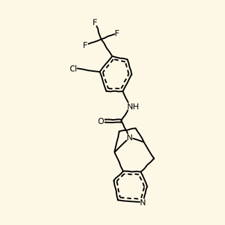 O=C(Nc1ccc(C(F)(F)F)c(Cl)c1)N1C2CCC1c1ccncc1C2